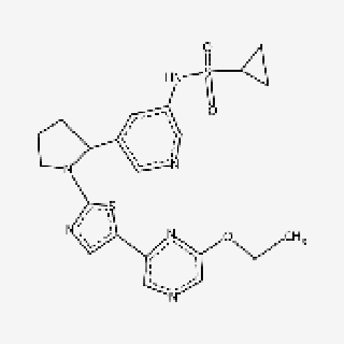 CCOc1cncc(-c2cnc(N3CCCC3c3cncc(NS(=O)(=O)C4CC4)c3)s2)n1